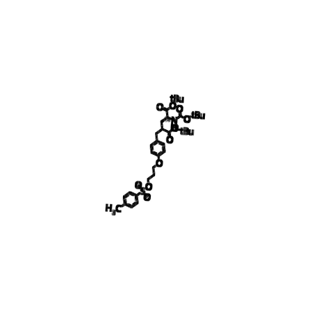 Cc1ccc(S(=O)(=O)OCCCOc2ccc(CC(C[C@H](NC(=O)OC(C)(C)C)C(=O)OC(C)(C)C)C(=O)OC(C)(C)C)cc2)cc1